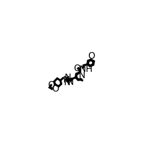 COc1cccc(CNC(=O)c2cc(-c3nnn(CC4CCC5(CC4)OCCO5)n3)cc(C)n2)c1